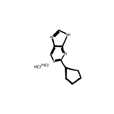 Cl.Cl.c1nc2cnc(C3CCCC3)nc2[nH]1